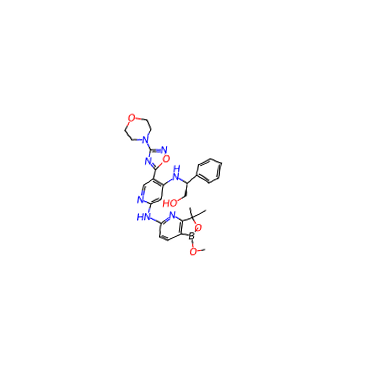 COB1OC(C)(C)c2nc(Nc3cc(N[C@H](CO)c4ccccc4)c(-c4nc(N5CCOCC5)no4)cn3)ccc21